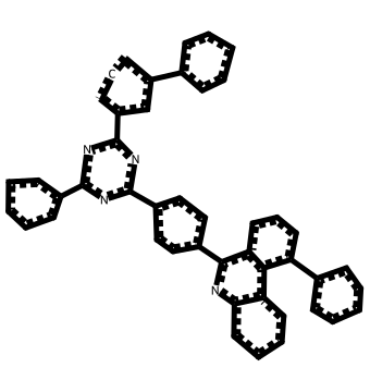 c1ccc(-c2cccc(-c3nc(-c4ccccc4)nc(-c4ccc(-c5nc6ccccc6c6c(-c7ccccc7)cccc56)cc4)n3)c2)cc1